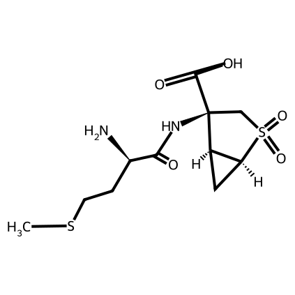 CSCC[C@@H](N)C(=O)N[C@@]1(C(=O)O)CS(=O)(=O)[C@H]2C[C@H]21